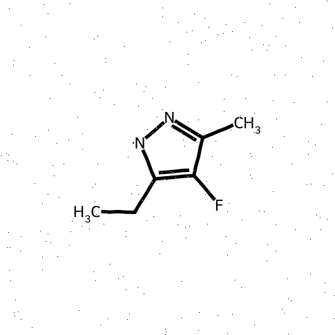 CCC1=C(F)C(C)=N[N]1